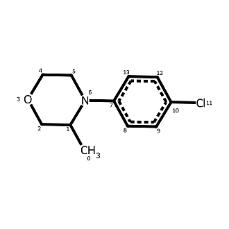 CC1COCCN1c1ccc(Cl)cc1